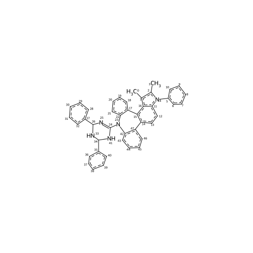 Cc1c(C)n(-c2ccccc2)c2ccc3c(c12)-c1ccccc1N(C1=NC(c2ccccc2)NC(c2ccccc2)N1)c1ccccc1-3